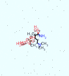 C=C(CCCN(C)C)C(N)=O.COS(=O)(=O)O.O.O.O.O